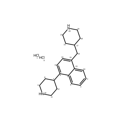 Cl.Cl.c1ccc2c(C3CCNCC3)ccc(CC3CCNCC3)c2c1